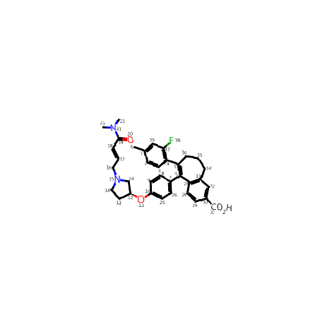 Cc1ccc(C2=C(c3ccc(O[C@H]4CCN(CC=CC(=O)N(C)C)C4)cc3)c3ccc(C(=O)O)cc3CCC2)c(F)c1